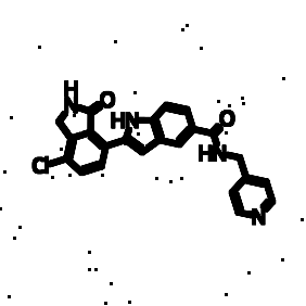 O=C(NCc1ccncc1)c1ccc2[nH]c(-c3ccc(Cl)c4c3C(=O)NC4)cc2c1